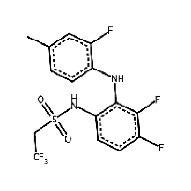 Cc1ccc(Nc2c(NS(=O)(=O)CC(F)(F)F)ccc(F)c2F)c(F)c1